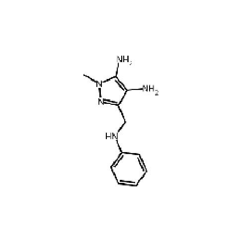 Cn1nc(CNc2ccccc2)c(N)c1N